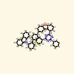 c1ccc(-c2nc(-c3ccccc3)nc(-c3cccc4oc5ccc(-c6ccc7c(c6)sc6cccc(-n8c9ccccc9c9ccccc98)c67)cc5c34)n2)cc1